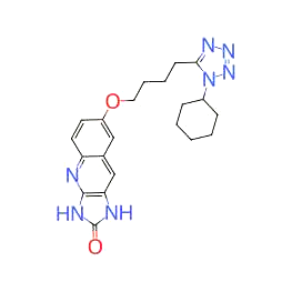 O=c1[nH]c2cc3cc(OCCCCc4nnnn4C4CCCCC4)ccc3nc2[nH]1